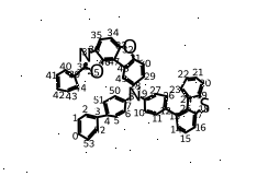 c1ccc(-c2ccc(N(c3ccc(-c4cccc5sc6ccccc6c45)cc3)c3ccc4oc5ccc6nc(-c7ccccc7)oc6c5c4c3)cc2)cc1